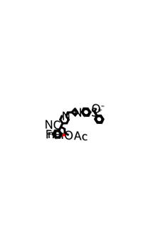 CCCC(CC(C#N)(c1cccc(F)c1)C1CCN(CC2CN(c3ccc([S+]([O-])c4ccccc4)cc3)C2)CC1)OC(C)=O